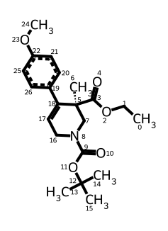 CCOC(=O)[C@@]1(C)CN(C(=O)OC(C)(C)C)CC=C1c1ccc(OC)cc1